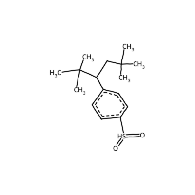 CC(C)(C)CC(c1ccc([SH](=O)=O)cc1)C(C)(C)C